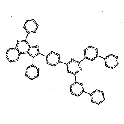 c1ccc(-c2cccc(-c3nc(-c4ccc(-c5oc6c(-c7ccccc7)nc7ccccc7c6c5-c5ccccc5)cc4)nc(-c4cccc(-c5ccccc5)c4)n3)c2)cc1